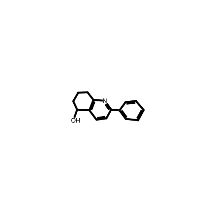 OC1CCCc2nc(-c3ccccc3)ccc21